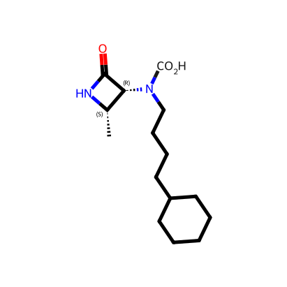 C[C@@H]1NC(=O)[C@@H]1N(CCCCC1CCCCC1)C(=O)O